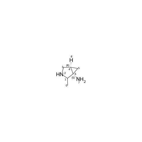 CC1NC[C@H]2C[C@@]12N